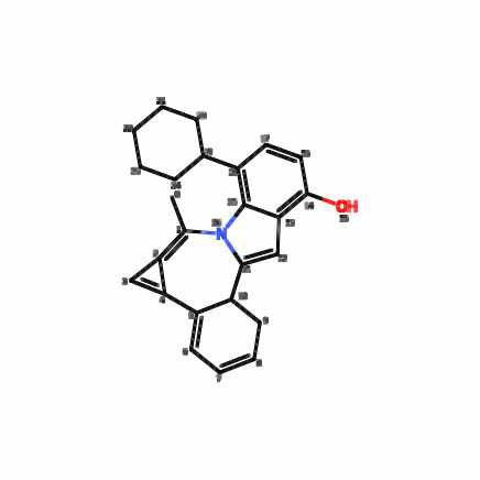 CC1=C2C=C2C2=CC=CCC2c2cc3c(O)ccc(C4CCCCC4)c3n21